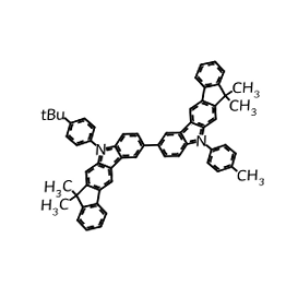 Cc1ccc(-n2c3ccc(-c4ccc5c(c4)c4cc6c(cc4n5-c4ccc(C(C)(C)C)cc4)C(C)(C)c4ccccc4-6)cc3c3cc4c(cc32)C(C)(C)c2ccccc2-4)cc1